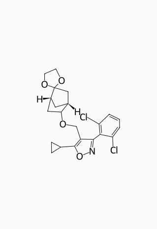 Clc1cccc(Cl)c1-c1noc(C2CC2)c1COC1C[C@H]2C[C@@H]1CC21OCCO1